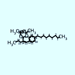 CCCCCCCCCc1ccc(C=C(CCC)C(OC(C)=O)OC(C)=O)cc1